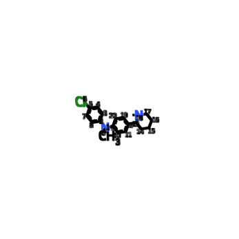 CN(c1ccc(Cl)cc1)c1ccc(C2CCCC[N]2)cc1